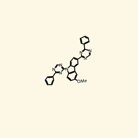 COc1ccc2c(c1)c1cc(-c3ncnc(-c4ccccc4)n3)ccc1n2-c1ncnc(-c2ccccc2)n1